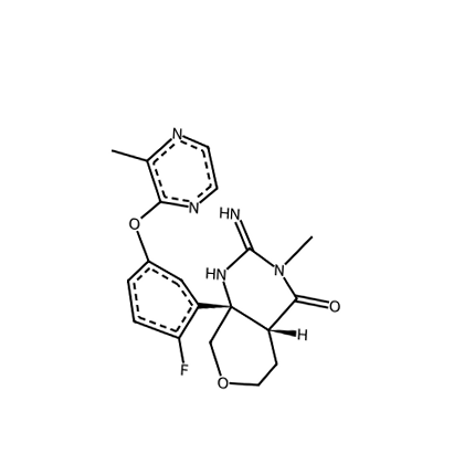 Cc1nccnc1Oc1ccc(F)c([C@]23COCC[C@H]2C(=O)N(C)C(=N)N3)c1